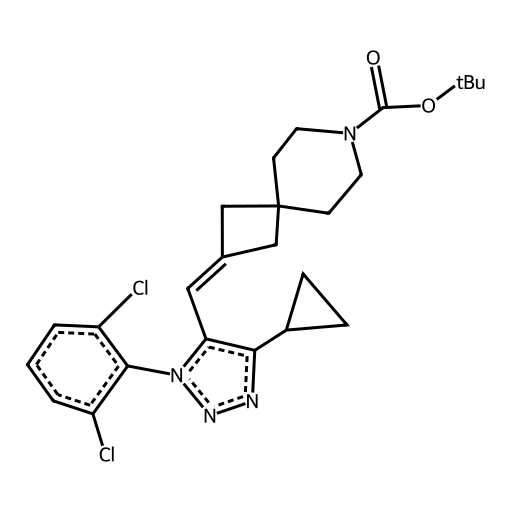 CC(C)(C)OC(=O)N1CCC2(CC1)CC(=Cc1c(C3CC3)nnn1-c1c(Cl)cccc1Cl)C2